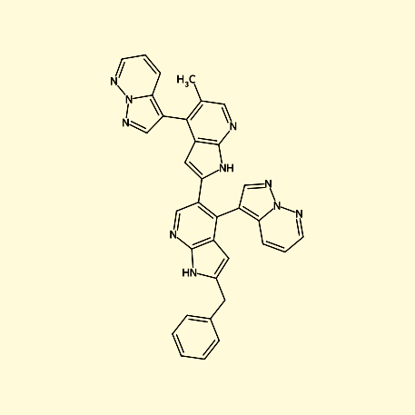 Cc1cnc2[nH]c(-c3cnc4[nH]c(Cc5ccccc5)cc4c3-c3cnn4ncccc34)cc2c1-c1cnn2ncccc12